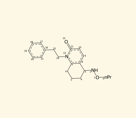 CCCONC1CCCc2c1ccc(=O)n2CCc1ccccc1